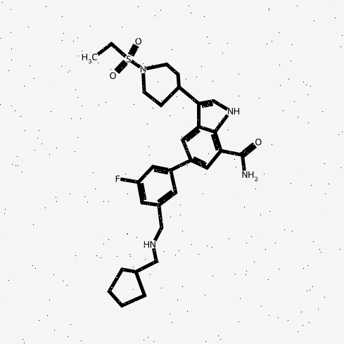 CCS(=O)(=O)N1CCC(c2c[nH]c3c(C(N)=O)cc(-c4cc(F)cc(CNCC5CCCC5)c4)cc23)CC1